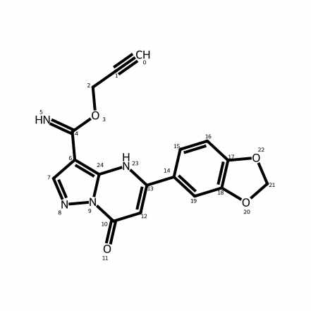 C#CCOC(=N)c1cnn2c(=O)cc(-c3ccc4c(c3)OCO4)[nH]c12